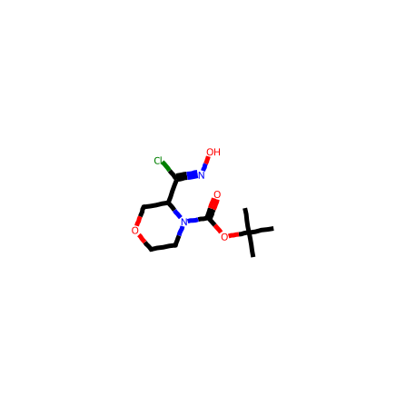 CC(C)(C)OC(=O)N1CCOCC1C(Cl)=NO